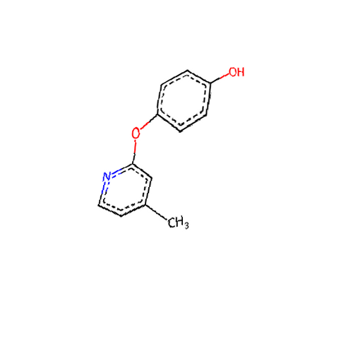 Cc1ccnc(Oc2ccc(O)cc2)c1